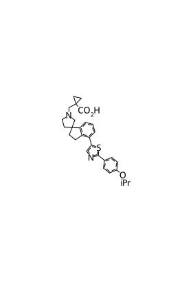 CC(C)Oc1ccc(-c2ncc(-c3cccc4c3CCC43CCN(CC4(C(=O)O)CC4)C3)s2)cc1